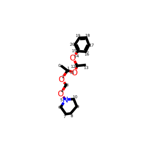 CC(OCON1CCCCC1)OC(C)Oc1[c]cccc1